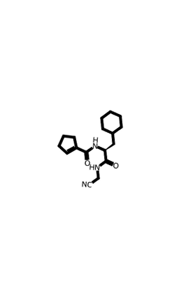 N#CCNC(=O)[C@H](CC1CCCCC1)NC(=O)C1=CCCC1